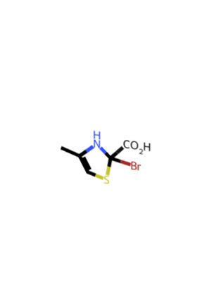 CC1=CSC(Br)(C(=O)O)N1